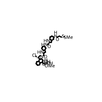 CO[PH](O)(O)Oc1cc2c(c3ccccc13)[C@H](CCl)CN2C(=O)c1cc2cc(NC(=O)c3cc4cc(NC(=O)CCSSC)ccc4[nH]3)ccc2[nH]1